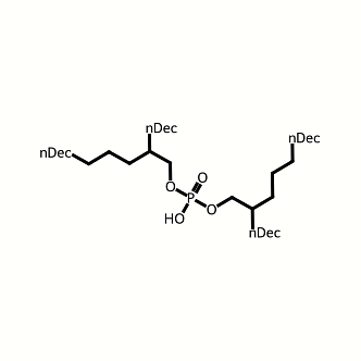 CCCCCCCCCCCCCC(CCCCCCCCCC)COP(=O)(O)OCC(CCCCCCCCCC)CCCCCCCCCCCCC